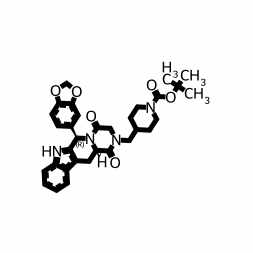 CC(C)(C)OC(=O)N1CCC(CN2CC(=O)N3[C@H](c4ccc5c(c4)OCO5)c4[nH]c5ccccc5c4C[C@@H]3C2=O)CC1